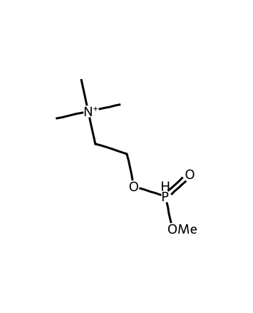 CO[PH](=O)OCC[N+](C)(C)C